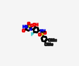 COc1ccc(S(=O)(=O)Nc2cc(O)c(N3CC(=O)NS3(=O)=O)c(F)c2)cc1OC